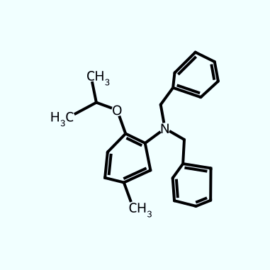 Cc1ccc(OC(C)C)c(N(Cc2ccccc2)Cc2ccccc2)c1